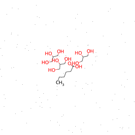 CCCCCC(=O)O.OCC(O)CO.OCC(O)CO.OCC(O)CO